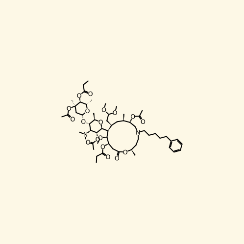 CCC(=O)O[C@@H]1CC(=O)O[C@H](C)CCN(CCCCCc2ccccc2)C[C@H](OC(C)=O)[C@H](C)C[C@H](CC(OC)OC)[C@H]([C@@H]2O[C@H](C)[C@@H](O[C@@H]3C[C@@](C)(OC(C)=O)[C@@H](OC(=O)CC)[C@H](C)O3)[C@H](N(C)C)[C@H]2OC(C)=O)[C@@H]1OC